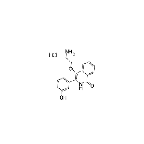 Cl.NCCOc1c(-c2cccc(O)c2)[nH]c(=O)c2ccccc12